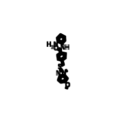 COc1ccc2nc(SCc3ccc(C(=O)Nc4ccccc4N)cc3)n(C)c2c1